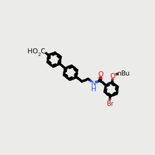 CCCCOc1ccc(Br)cc1C(=O)NCCc1ccc(-c2ccc(C(=O)O)cc2)cc1